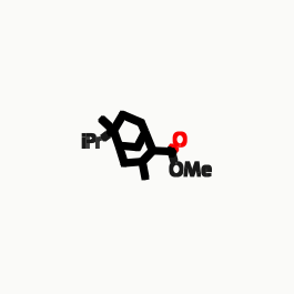 COC(=O)C1C(C)CC2CC1CCC2(C)C(C)C